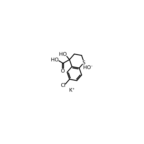 O=C(O)C1(O)CCSc2ccc(Cl)cc21.[K+].[OH-]